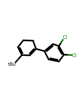 CC(C)(C)C1=CC[CH]C(c2ccc(Cl)c(Cl)c2)=C1